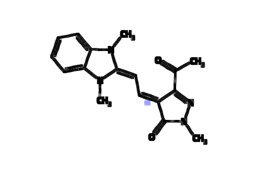 CC(=O)C1=NN(C)C(=O)/C1=C/C=C1N(C)c2ccccc2N1C